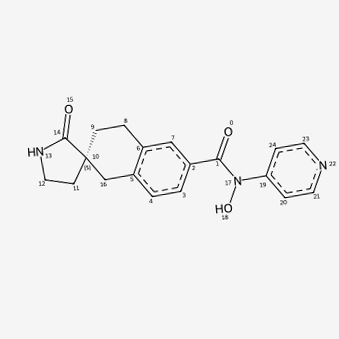 O=C(c1ccc2c(c1)CC[C@@]1(CCNC1=O)C2)N(O)c1ccncc1